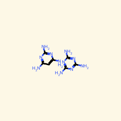 Nc1cc(N)nc(N)n1.Nc1nc(N)nc(N)n1